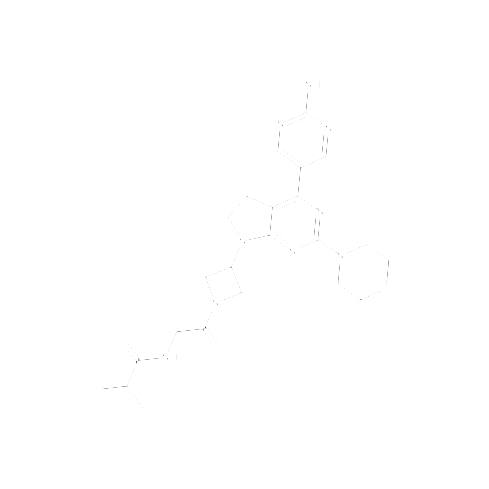 CC(C)C(=O)NCC(=O)N1CC(N2CCc3c(-c4cnc(N)nc4)nc(N4CCOCC4)nc32)C1